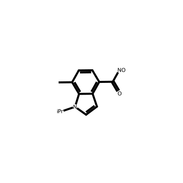 Cc1ccc(C(=O)N=O)c2ccn(C(C)C)c12